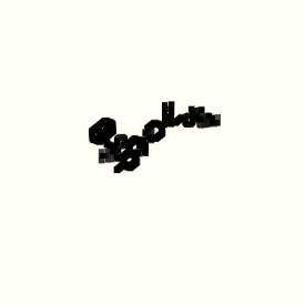 Cc1ccc2nc(N3CCC(NCCO[Si](C)(C)C(C)(C)C)CC3)ccc2c1NC(=O)CC12CC3CC(CC(C3)C1)C2